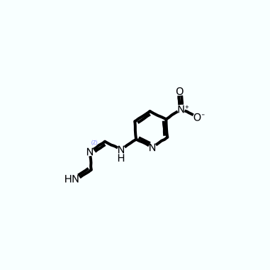 N=C/N=C\Nc1ccc([N+](=O)[O-])cn1